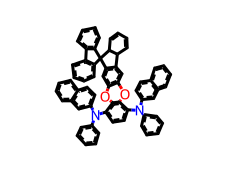 C1=CC2c3cc4c(cc3C3(c5ccccc5-c5ccccc53)C2C=C1)Oc1c(N(c2ccccc2)c2ccc3ccccc3c2)ccc(N(c2ccccc2)c2ccc3ccccc3c2)c1O4